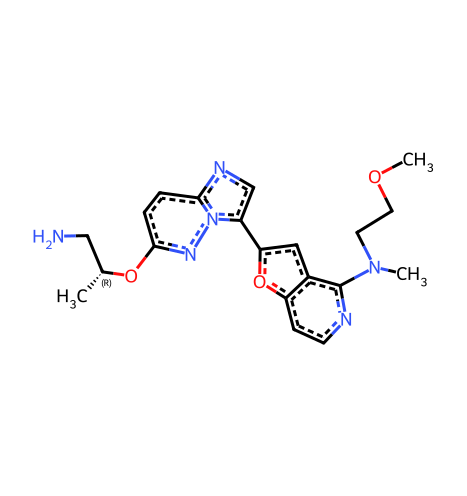 COCCN(C)c1nccc2oc(-c3cnc4ccc(O[C@H](C)CN)nn34)cc12